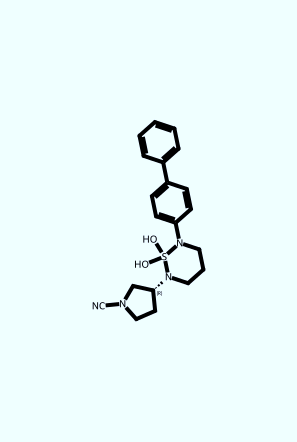 N#CN1CC[C@@H](N2CCCN(c3ccc(-c4ccccc4)cc3)S2(O)O)C1